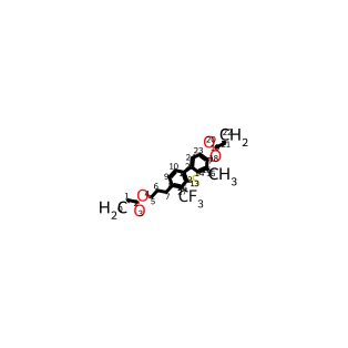 C=CC(=O)OCCCc1ccc2c(sc3c(C)c(OC(=O)C=C)ccc32)c1C(F)(F)F